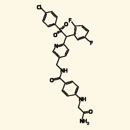 NC(=O)CNc1ccc(C(=O)NCc2ccc(C(c3cc(F)ccc3F)S(=O)(=O)c3ccc(Cl)cc3)nc2)cc1